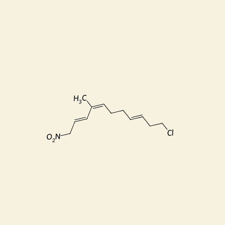 CC(=C/CCC=CCCCl)/C=C/C[N+](=O)[O-]